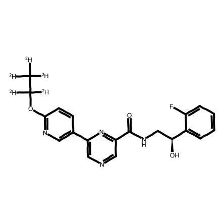 [2H]C([2H])([2H])C([2H])([2H])Oc1ccc(-c2cncc(C(=O)NC[C@H](O)c3ccccc3F)n2)cn1